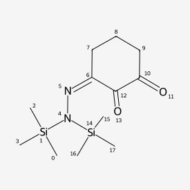 C[Si](C)(C)N(/N=C1/CCCC(=O)C1=O)[Si](C)(C)C